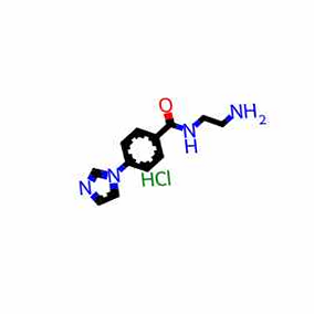 Cl.NCCNC(=O)c1ccc(-n2ccnc2)cc1